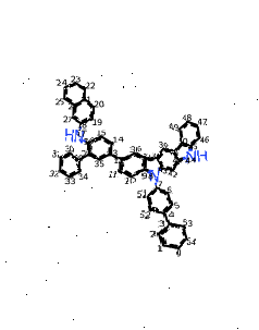 c1ccc(-c2ccc(-n3c4ccc(-c5ccc(Nc6ccc7ccccc7c6)c(-c6ccccc6)c5)cc4c4cc5c(cc43)[nH]c3ccccc35)cc2)cc1